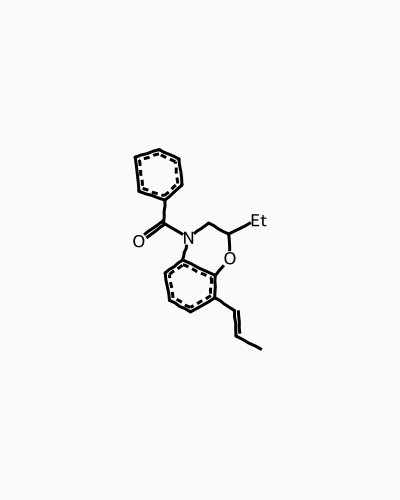 CC=Cc1cccc2c1OC(CC)CN2C(=O)c1ccccc1